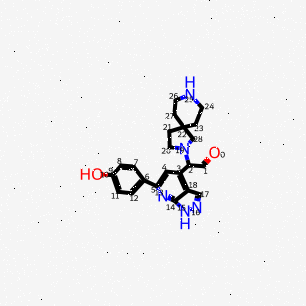 O=CC(c1cc(-c2ccc(O)cc2)nc2[nH]ncc12)N1CCC2(CCNCC2)C1